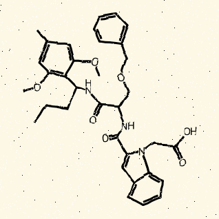 CCCC(NC(=O)C(COCc1ccccc1)NC(=O)c1cc2ccccc2n1CC(=O)O)c1c(OC)cc(C)cc1OC